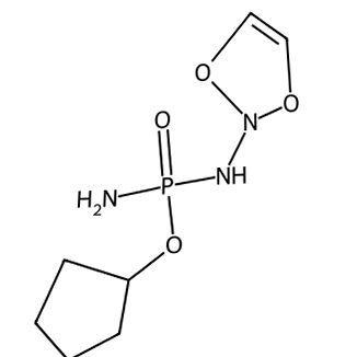 NP(=O)(NN1OC=CO1)OC1CCCC1